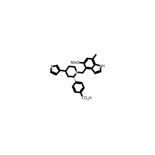 COc1cc(C)c2[nH]ccc2c1CN1CCC(c2ccsc2)C[C@H]1c1ccc(C(=O)O)cc1